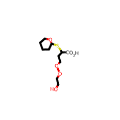 O=C(O)C(CCOOCCO)SC1CCCCO1